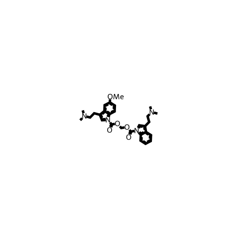 COc1ccc2c(c1)c(CCN(C)C)cn2C(=O)OCOC(=O)n1cc(CCN(C)C)c2ccccc21